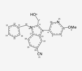 COc1ccc(-c2c(CO)n(Cc3ccccc3)c3ccc(C#N)cc23)cn1